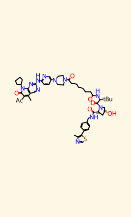 CC(=O)c1c(C)c2cnc(Nc3ccc(N4CCN(C(=O)CCCCCCC(=O)NC(C(=O)N5C[C@H](O)C[C@H]5C(=O)NCc5ccc(-c6scnc6C)cc5)C(C)(C)C)CC4)cn3)nc2n(C2CCCC2)c1=O